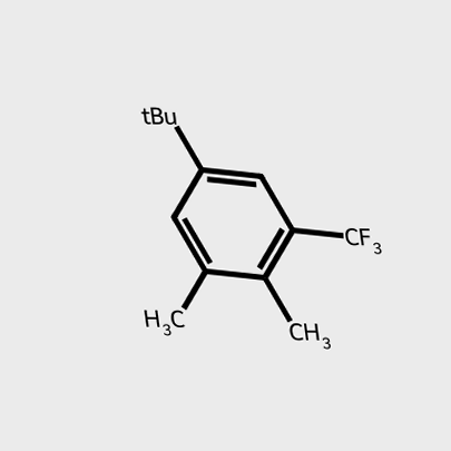 Cc1cc(C(C)(C)C)cc(C(F)(F)F)c1C